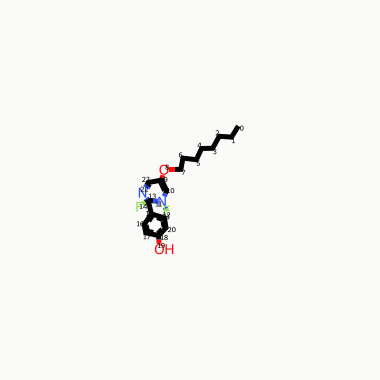 CCCCCCCCOC1=CN(F)C(F)(c2ccc(O)cc2)N=C1